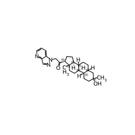 C[C@@]1(O)CC[C@H]2[C@H](CC[C@@H]3[C@@H]2CC[C@]2(C)[C@@H](C(=O)Cn4ncc5ncccc54)CC[C@@H]32)C1